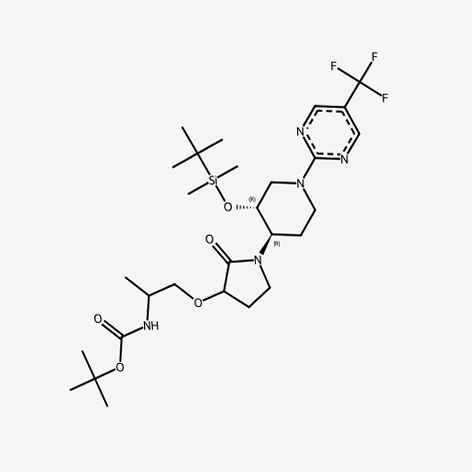 CC(COC1CCN([C@@H]2CCN(c3ncc(C(F)(F)F)cn3)C[C@H]2O[Si](C)(C)C(C)(C)C)C1=O)NC(=O)OC(C)(C)C